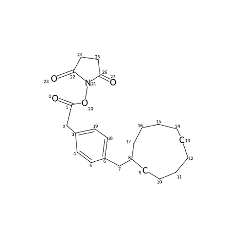 O=C(Cc1ccc(CC2CCCCCCCCC2)cc1)ON1C(=O)CCC1=O